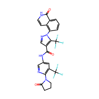 O=C(Nc1cnc(N2CCCC2=O)c(C(F)(F)F)c1)c1cnn(-c2cccc3c(=O)[nH]ccc23)c1C(F)(F)F